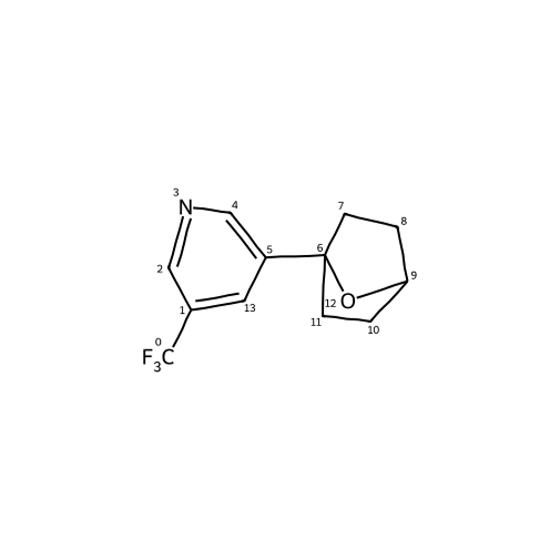 FC(F)(F)c1cncc(C23CCC(CC2)O3)c1